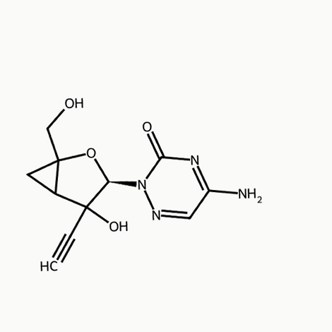 C#CC1(O)C2CC2(CO)O[C@H]1n1ncc(N)nc1=O